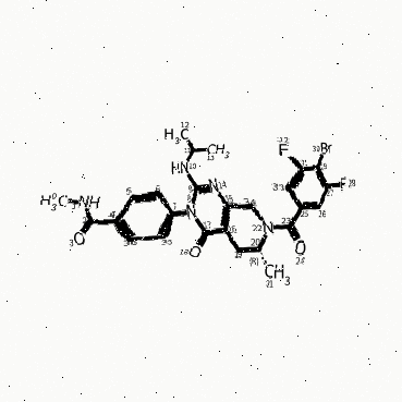 CNC(=O)c1ccc(-n2c(NC(C)C)nc3c(c2=O)C[C@@H](C)N(C(=O)c2cc(F)c(Br)c(F)c2)C3)cc1